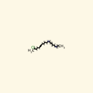 C=C(Cl)CCCC#CCCCC/C=C\CCCC/C=C\CC